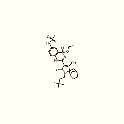 CCOP1(=O)N=C(C2=C(O)C3(CC4CCC3C4)N(CCC(C)(C)C)C2=O)Nc2ccc(NS(C)(=O)=O)cc21